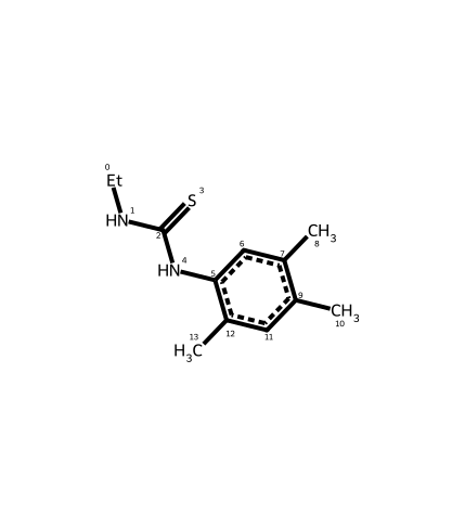 CCNC(=S)Nc1cc(C)c(C)cc1C